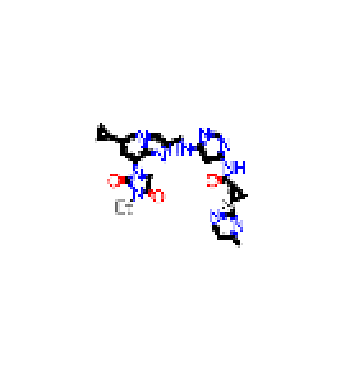 CCN1C(=O)CN(c2cc(C3CC3)cn3cc(CNc4cc(NC(=O)[C@H]5C[C@@H]5c5nccc(C)n5)ncn4)nc23)C1=O